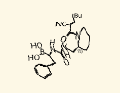 CC(C)(C)C=C(C#N)C(=O)N1CCCC[C@H]1CNC(=O)NC(Cc1ccccc1)B(O)O